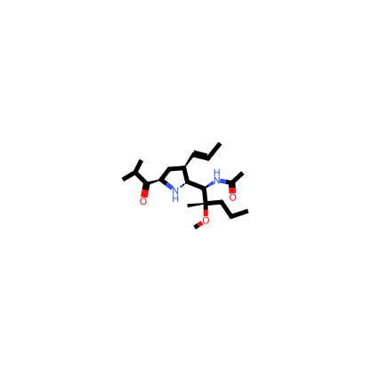 CC=C[C@@H]1C[C@H](C(=O)C(C)C)N[C@H]1[C@@H](NC(C)=O)[C@](C)(CCC)OC